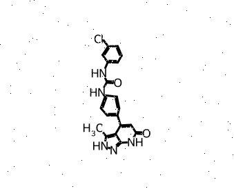 Cc1[nH]nc2[nH]c(=O)cc(-c3ccc(NC(=O)Nc4cccc(Cl)c4)cc3)c12